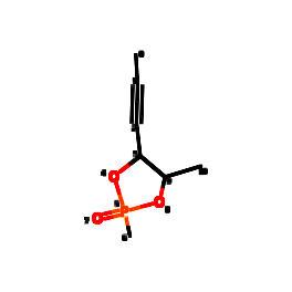 CC#CC1OP(C)(=O)OC1C